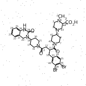 CN1CCN(C2CCN(C(=O)C(CC(=O)N3CCC(N4Cc5ccccc5NC4=O)CC3)Cc3ccc(Br)c(Br)c3)CC2)CC1C(=O)O